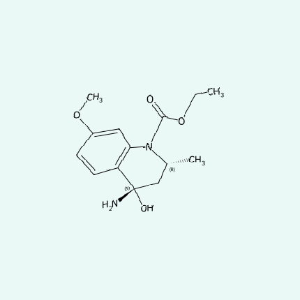 CCOC(=O)N1c2cc(OC)ccc2[C@@](N)(O)C[C@H]1C